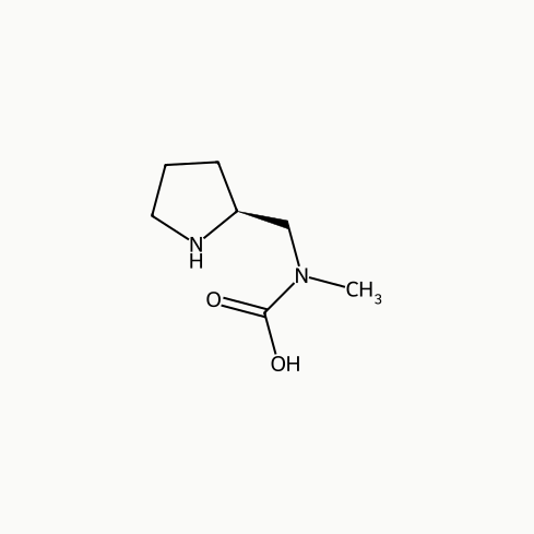 CN(C[C@@H]1CCCN1)C(=O)O